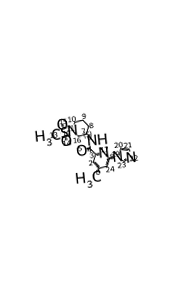 Cc1cc(C(=O)N[C@H]2CCCN(S(C)(=O)=O)C2)nc(-n2ccnc2)c1